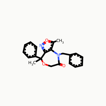 Cc1onc2c1N(Cc1ccccc1)C(=O)COC2(C)c1ccccc1